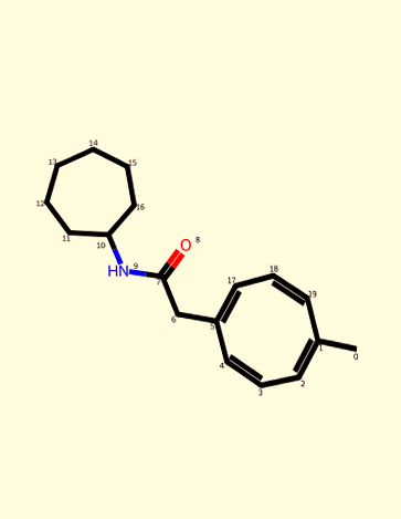 CC1=C/C=C\C(CC(=O)NC2CCCCCC2)=C/C=C\1